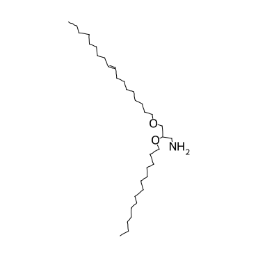 CCCCCCCCC=CCCCCCCCCOCC(CN)OCCCCCCCCCCCCCC